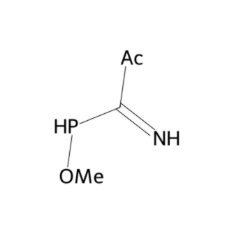 COPC(=N)C(C)=O